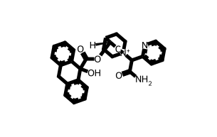 NC(=O)C(c1ccccn1)[N+]12CCC(CC1)[C@@H](OC(=O)C1(O)c3ccccc3Cc3ccccc31)C2